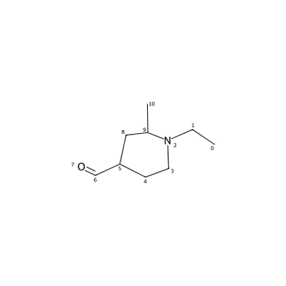 CCN1CCC(C=O)CC1C